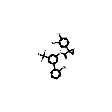 Cc1ccccc1-c1cc(NC(=O)C2(c3ccc(O)c(O)c3)CC2)cc(C(F)(F)F)c1